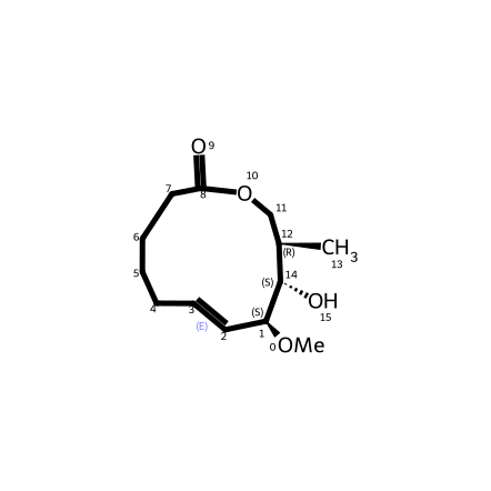 CO[C@H]1/C=C/CCCCC(=O)OC[C@@H](C)[C@@H]1O